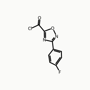 O=C(Cl)c1nc(-c2ccc(F)cc2)no1